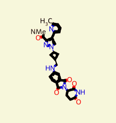 CNC(=O)c1nn([C@H]2C[C@H](CNc3ccc4c(c3)C(=O)N(C3CCC(=O)NC3=O)C4=O)C2)cc1-c1cccc(C)n1